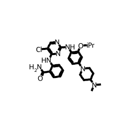 CC(C)Oc1cc(N2CCC(N(C)C)CC2)ccc1Nc1ncc(Cl)c(Nc2ccccc2C(N)=O)n1